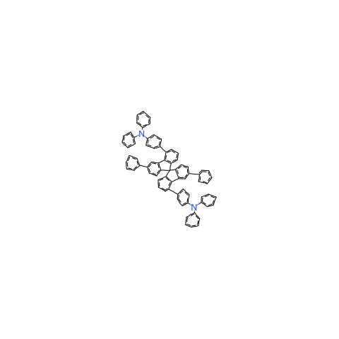 c1ccc(-c2ccc3c(c2)-c2c(-c4ccc(N(c5ccccc5)c5ccccc5)cc4)cccc2C32c3ccc(-c4ccccc4)cc3-c3c(-c4ccc(N(c5ccccc5)c5ccccc5)cc4)cccc32)cc1